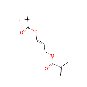 C=C(C)C(=O)OCC=COC(=O)C(C)(C)C